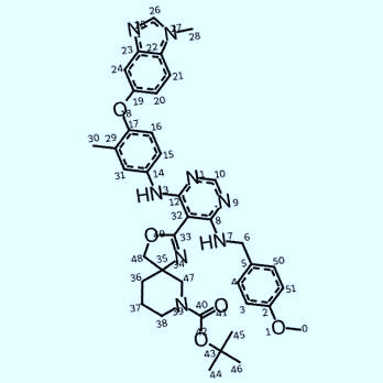 COc1ccc(CNc2ncnc(Nc3ccc(Oc4ccc5c(c4)ncn5C)c(C)c3)c2C2=NC3(CCCN(C(=O)OC(C)(C)C)C3)CO2)cc1